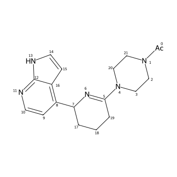 CC(=O)N1CCN(C2=NC(c3ccnc4[nH]ccc34)CCC2)CC1